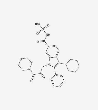 CC(C)(C)S(=O)(=O)NC(=O)c1ccc2c(C3CCCCC3)c3n(c2c1)CC(C(=O)N1CCOCC1)=Cc1ccccc1-3